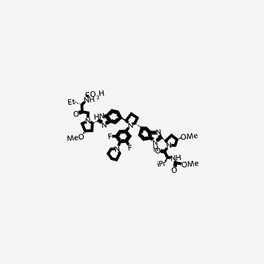 CC[C@H](NC(=O)O)C(=O)CN1C[C@@H](OC)C[C@H]1c1nc2cc([C@H]3CC[C@H](c4ccc5[nH]c([C@@H]6C[C@H](OC)CN6C(=O)[C@@H](NC(=O)OC)C(C)C)nc5c4)N3c3cc(F)c(N4CCCCC4)c(F)c3)ccc2[nH]1